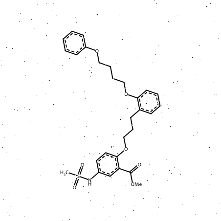 COC(=O)c1cc(NS(C)(=O)=O)ccc1OCCCc1ccccc1OCCCCOc1ccccc1